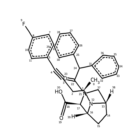 C[C@H](CC#Cc1ccc(F)cc1)N1[C@H]2CC[C@@H]1[C@@H](C(=O)O)N(C(=O)C(c1ccccc1)c1ccccc1)C2